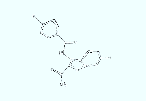 NC(=O)c1oc2cc(F)ccc2c1NC(=O)c1ccc(F)cc1